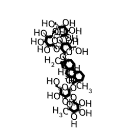 C=C1C[C@]23CC[C@H]4C(C)(C(=O)O[C@@H]5O[C@H](CO)[C@@H](O)[C@H](O)[C@H]5O[C@@H]5O[C@@H](C)[C@H](O)[C@@H](O)[C@H]5O)CCC[C@]4(C)[C@H]2CC[C@]1(O[C@@H]1O[C@H](CO)[C@@H](O)[C@H](O[C@@H]2O[C@H](CO)[C@@H](O)[C@H](O)[C@H]2O)[C@H]1O[C@@H]1O[C@H](CO)[C@@H](O)[C@H](O)[C@H]1O)C3